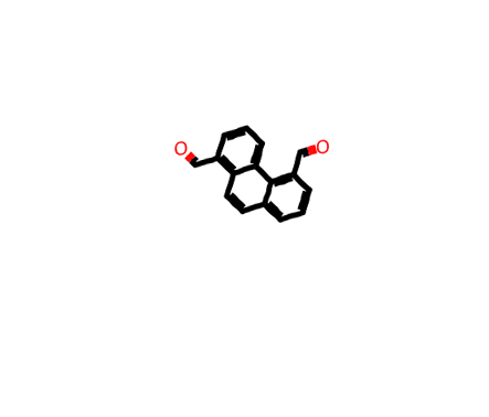 O=Cc1cccc2c1ccc1cccc(C=O)c12